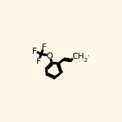 [CH2]C=Cc1ccccc1OC(F)(F)F